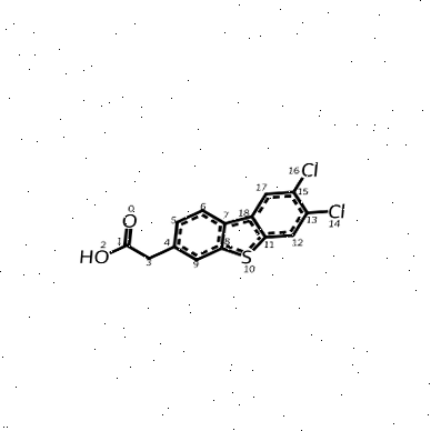 O=C(O)Cc1ccc2c(c1)sc1cc(Cl)c(Cl)cc12